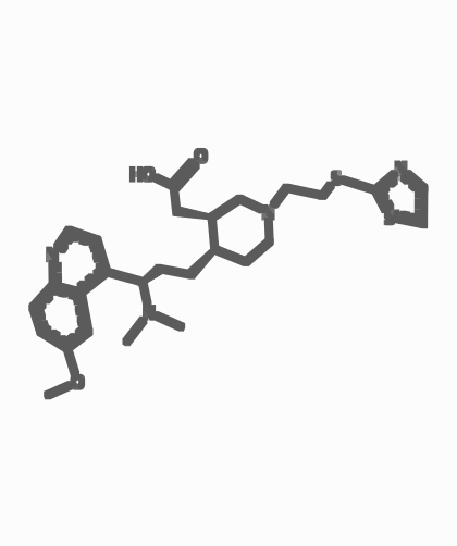 COc1ccc2nccc([C@@H](CC[C@@H]3CCN(CCSc4nccs4)C[C@@H]3CC(=O)O)N(C)C)c2c1